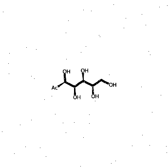 CC(=O)[C@@H](O)[C@H](O)[C@@H](O)[C@H](O)CO